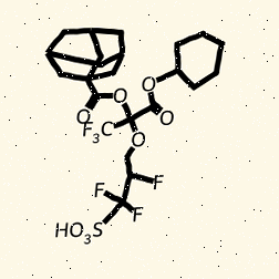 O=C(OC(OCC(F)C(F)(F)S(=O)(=O)O)(C(=O)OC1CCCCC1)C(F)(F)F)C12CC3CC(CC(C3)C1)C2